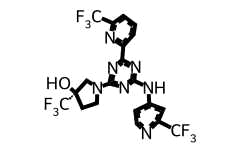 O[C@]1(C(F)(F)F)CCN(c2nc(Nc3ccnc(C(F)(F)F)c3)nc(-c3cccc(C(F)(F)F)n3)n2)C1